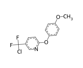 COc1ccc(Oc2ccc(C(F)(F)Cl)cn2)cc1